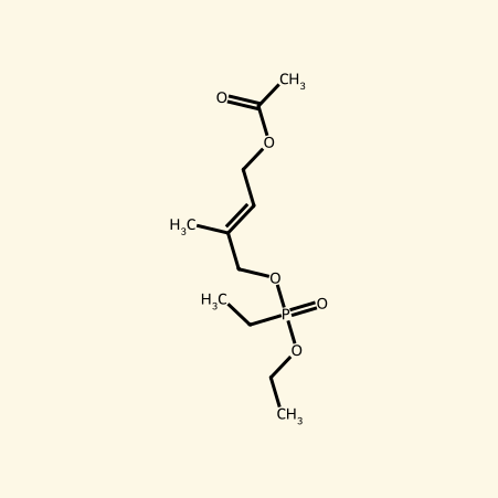 CCOP(=O)(CC)OCC(C)=CCOC(C)=O